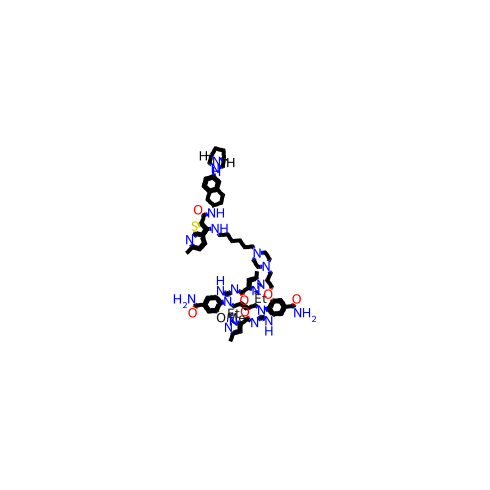 CCn1nc(C)cc1C(=O)/N=c1/[nH]c2cc(C(N)=O)cc(OC)c2n1C/C=C/Cn1/c(=N\C(=O)c2cc(C)nn2CC)[nH]c2cc(C(N)=O)cc(OCCCN3CCN(CCCCCCNc4c(C(=O)N[C@H]5CCc6cc(N7C[C@H]8CC[C@@H](C7)N8)ccc6C5)sc5nc(C)ccc45)CC3)c21